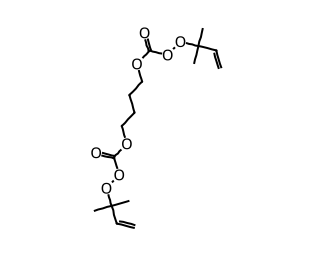 C=CC(C)(C)OOC(=O)OCCCCOC(=O)OOC(C)(C)C=C